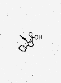 CC#CC1C(N2CCCC2)CCN1C(=O)O